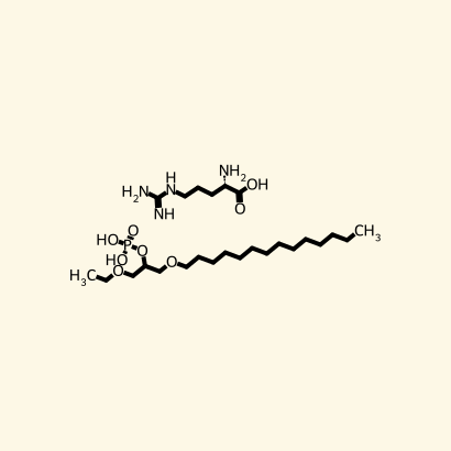 CCCCCCCCCCCCCCOCC(COCC)OP(=O)(O)O.N=C(N)NCCC[C@H](N)C(=O)O